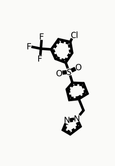 O=S(=O)(c1ccc(Cn2cccn2)cc1)c1cc(Cl)cc(C(F)(F)F)c1